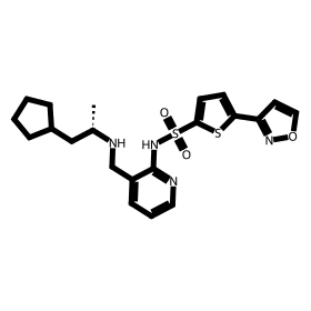 C[C@@H](CC1CCCC1)NCc1cccnc1NS(=O)(=O)c1ccc(-c2ccon2)s1